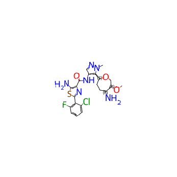 CO[C@H]1CO[C@H](c2c(NC(=O)c3nc(-c4c(F)cccc4Cl)sc3N)cnn2C)CC[C@H]1N